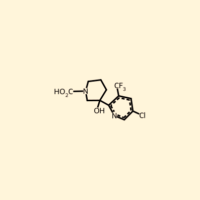 O=C(O)N1CCCC(O)(c2ncc(Cl)cc2C(F)(F)F)C1